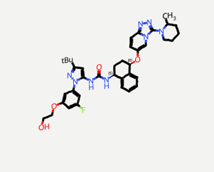 CC1CCCCN1c1nnc2ccc(O[C@@H]3CC[C@H](NC(=O)Nc4cc(C(C)(C)C)nn4-c4cc(F)cc(OCCO)c4)c4ccccc43)cn12